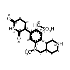 CN(CC1CCNCC1)c1cccc(C2CCC(=O)NC2=O)c1.O=S(=O)(O)O